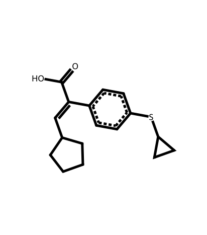 O=C(O)/C(=C/C1CCCC1)c1ccc(SC2CC2)cc1